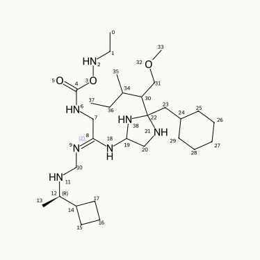 CCNOC(=O)NC/C(=N/CN[C@H](C)C1CCC1)NC1CNC(CC2CCCCC2)(C(COC)C(C)CC)N1